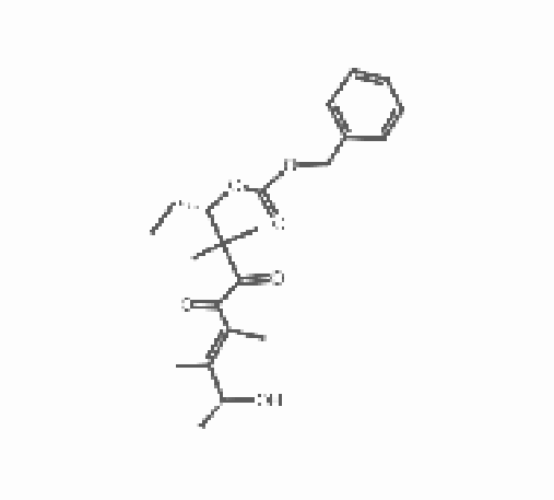 CC[C@H](OC(=O)OCc1ccccc1)C(C)(C)C(=O)C(=O)/C(C)=C(\C)[C@H](C)O